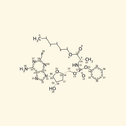 CCCCCCOC(=O)[C@H](C)NP(=O)(OC[C@@H]1C[C@H](O)[C@H](n2cnc3c(N)nc(F)nc32)O1)Oc1ccccc1